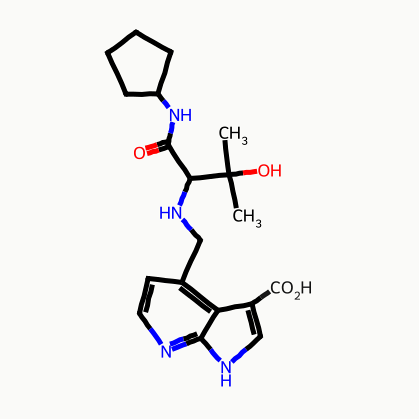 CC(C)(O)C(NCc1ccnc2[nH]cc(C(=O)O)c12)C(=O)NC1CCCC1